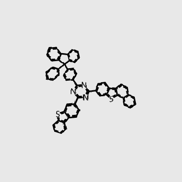 c1ccc(C2(c3ccc(-c4nc(-c5ccc6c(c5)sc5ccccc56)nc(-c5ccc6c(c5)sc5c7ccccc7ccc65)n4)cc3)c3ccccc3-c3ccccc32)cc1